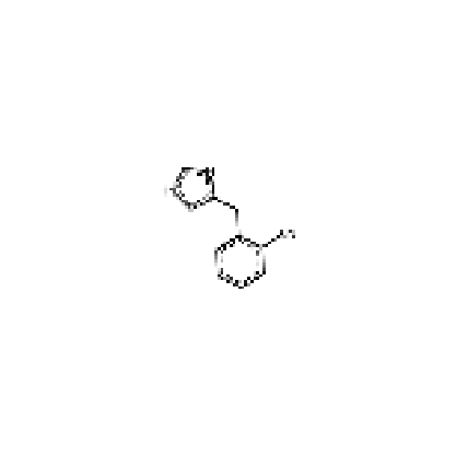 N#Cc1ccccc1Cc1c[nH]cn1